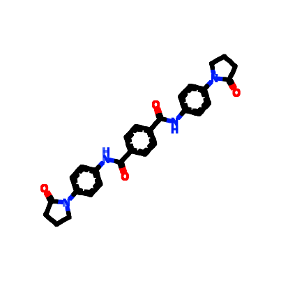 O=C(Nc1ccc(N2CCCC2=O)cc1)c1ccc(C(=O)Nc2ccc(N3CCCC3=O)cc2)cc1